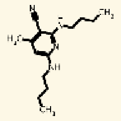 CCCCNc1cc(C)c(C#N)c(NCCCC)n1